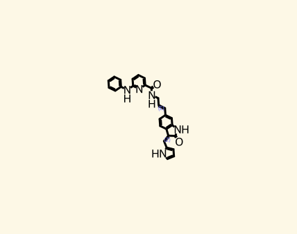 O=C1Nc2cc(/C=C/CNC(=O)c3cccc(Nc4ccccc4)n3)ccc2/C1=C/c1ccc[nH]1